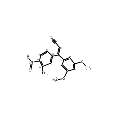 COc1cc(OC)cc(C(=CC#N)c2ccc([N+](=O)[O-])c(C)c2)c1